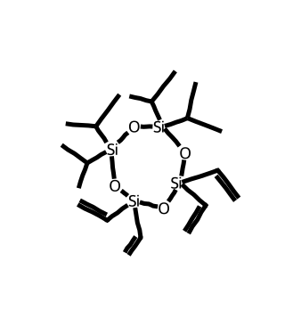 C=C[Si]1(C=C)O[Si](C=C)(C=C)O[Si](C(C)C)(C(C)C)O[Si](C(C)C)(C(C)C)O1